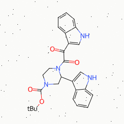 CC(C)(C)OC(=O)N1CCN(C(=O)C(=O)c2c[nH]c3ccccc23)C(c2c[nH]c3ccccc23)C1